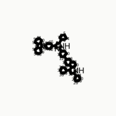 C1=C(c2ccccc2)NC(c2ccc(-c3ccc4c5c(ccc4c3)NC(c3ccccc3)C=C5c3ccccc3)cc2)N=C1c1ccc(-n2c3ccccc3c3ccccc32)cc1